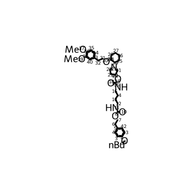 CCCCOc1ccc(CCOC(=O)NCCCCNC(=O)O[C@@H]2CCN(C3CCCC[C@H]3OCCc3ccc(OC)c(OC)c3)C2)cc1